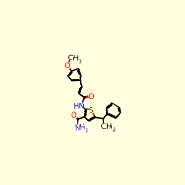 COc1ccc(C=CC(=O)Nc2sc(C(C)c3ccccc3)cc2C(N)=O)cc1